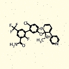 CNC1(Oc2ccc(Cl)c(-c3cc(C(F)(F)F)cc(C(N)=O)c3F)c2)NC=CC=C1c1ccncc1